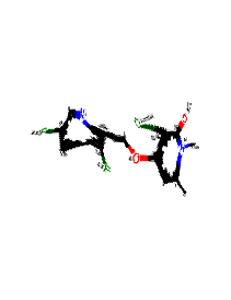 Cc1cc(OCc2ncc(F)cc2F)c(Cl)c(=O)n1C